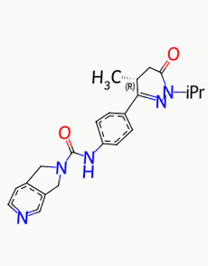 CC(C)N1N=C(c2ccc(NC(=O)N3Cc4ccncc4C3)cc2)[C@H](C)CC1=O